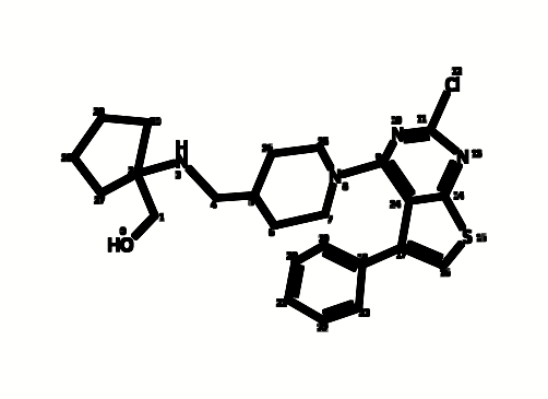 OCC1(NCC2CCN(c3nc(Cl)nc4scc(-c5ccccc5)c34)CC2)CCCC1